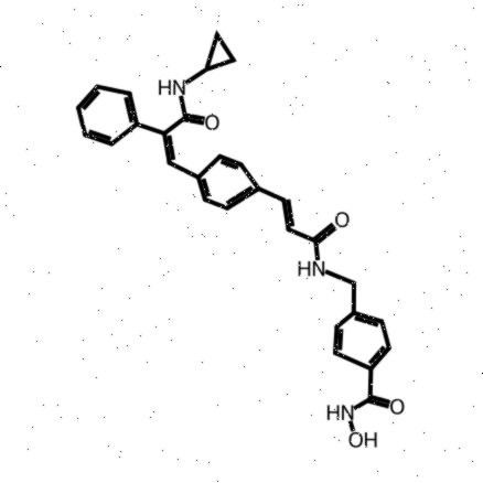 O=C(C=Cc1ccc(C=C(C(=O)NC2CC2)c2ccccc2)cc1)NCc1ccc(C(=O)NO)cc1